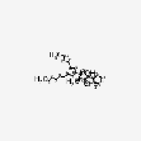 CCCCCCCC[C@@H](CCCCCC)C(=O)N(C)[C@@H](C)[C@@H](O)c1ccccc1